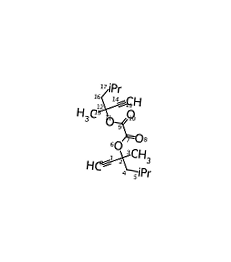 C#CC(C)(CC(C)C)OC(=O)C(=O)OC(C)(C#C)CC(C)C